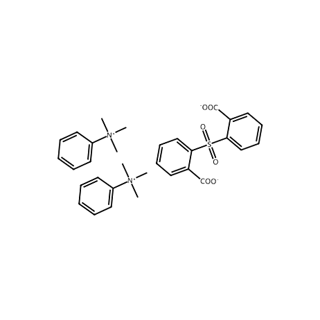 C[N+](C)(C)c1ccccc1.C[N+](C)(C)c1ccccc1.O=C([O-])c1ccccc1S(=O)(=O)c1ccccc1C(=O)[O-]